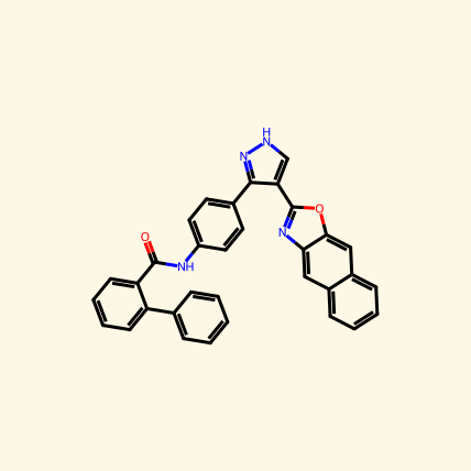 O=C(Nc1ccc(-c2n[nH]cc2-c2nc3cc4ccccc4cc3o2)cc1)c1ccccc1-c1ccccc1